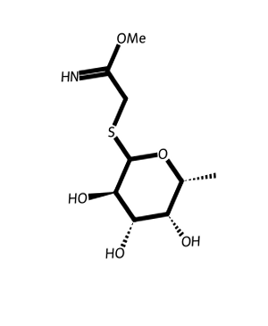 COC(=N)CSC1O[C@H](C)[C@H](O)[C@H](O)[C@H]1O